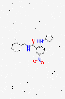 O=C(NCC1CCCCC1)c1cc([N+](=O)[O-])ccc1NC1CCCC1